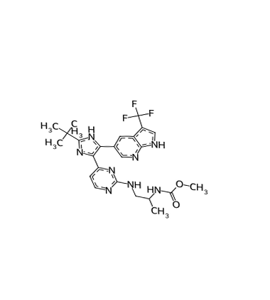 COC(=O)NC(C)CNc1nccc(-c2nc(C(C)(C)C)[nH]c2-c2cnc3[nH]cc(C(F)(F)F)c3c2)n1